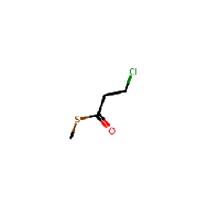 CSC(=O)CCCl